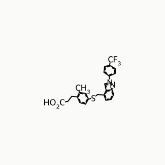 Cc1cc(SCc2cccc3nn(-c4ccc(C(F)(F)F)cc4)cc23)ccc1CCC(=O)O